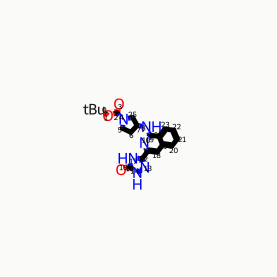 CC(C)(C)OC(=O)N1CCC(Nc2nc(-c3n[nH]c(=O)[nH]3)cc3ccccc23)C1